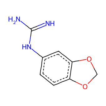 N=C(N)Nc1ccc2c(c1)OCO2